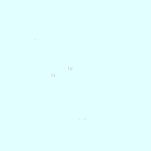 COc1ccc2[nH]c(-c3ccc(O)c(C45CC6CC(CC(C6)C4)C5)c3)nc2c1